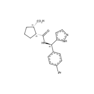 CC(C)c1ccc([C@@H](NC(=O)[C@@H]2CCC[C@@H]2C(=O)O)c2ccn[nH]2)cc1